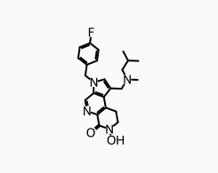 CC(C)CN(C)Cc1cn(Cc2ccc(F)cc2)c2cnc3c(c12)CCN(O)C3=O